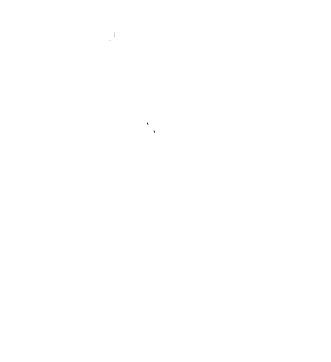 CCCCCCCCCCN(C/C=C(\C)CCC=C(C)C)c1ccc(OC)cc1